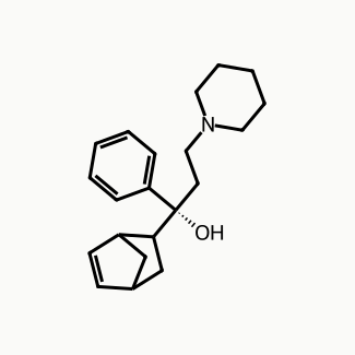 O[C@@](CCN1CCCCC1)(c1ccccc1)C1CC2C=CC1C2